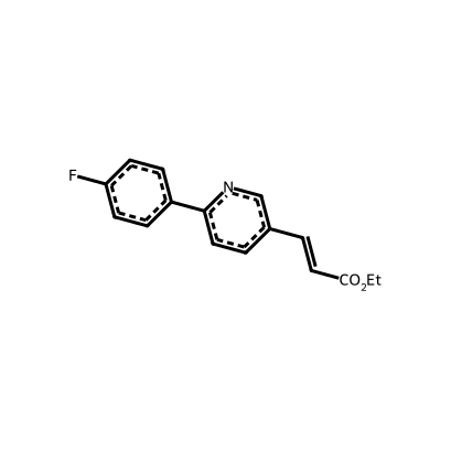 CCOC(=O)C=Cc1ccc(-c2ccc(F)cc2)nc1